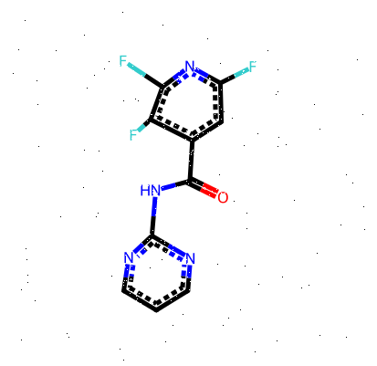 O=C(Nc1ncccn1)c1cc(F)nc(F)c1F